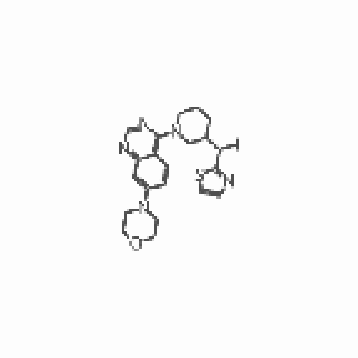 IC(c1nccs1)C1CCCN(c2ncnc3cc(N4CCOCC4)ccc23)C1